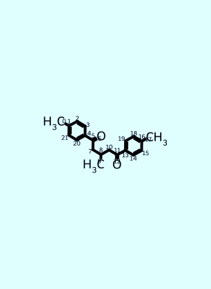 Cc1ccc(C(=O)CC(C)CC(=O)c2ccc(C)cc2)cc1